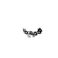 CCSN1CCC(Nc2cc(C(=O)N3CCC(N4CCc5ccccc5C4)CC3)ncn2)CC1